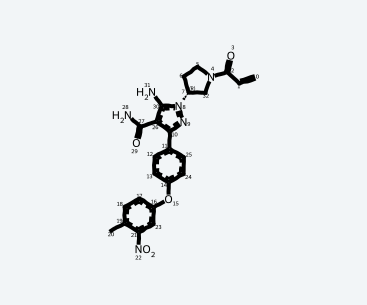 C=CC(=O)N1CC[C@@H](n2nc(-c3ccc(Oc4ccc(C)c([N+](=O)[O-])c4)cc3)c(C(N)=O)c2N)C1